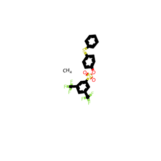 C.O=S(=O)(Oc1ccc(Sc2ccccc2)cc1)c1cc(C(F)(F)F)cc(C(F)(F)F)c1